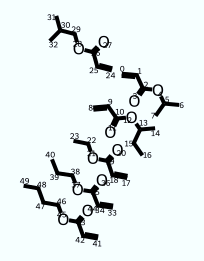 C=CC(=O)OC(C)C.C=CC(=O)OC(C)CC.C=CC(=O)OCC.C=CC(=O)OCC(C)C.C=CC(=O)OCCC.C=CC(=O)OCCCC